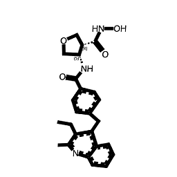 CCc1c(C)nc2ccccc2c1Cc1ccc(C(=O)N[C@@H]2COC[C@@H]2C(=O)NO)cc1